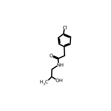 CC(O)CNC(=O)Cc1ccc(Cl)cc1